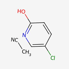 CC#N.Oc1ccc(Cl)cn1